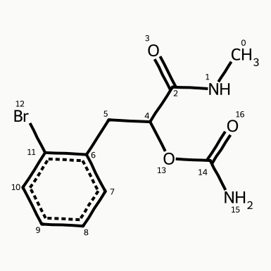 CNC(=O)C(Cc1ccccc1Br)OC(N)=O